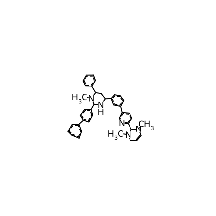 CN1C=CCN(C)C1c1ccc(-c2cccc(C3CC(c4ccccc4)N(C)C(c4ccc(-c5ccccc5)cc4)N3)c2)cn1